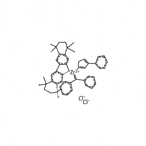 CC1(C)CCC(C)(C)c2cc3c(cc21)-c1cc2c(cc1[CH]3[Zr+2]([C]1=CC(c3ccccc3)=CC1)=[C](c1ccccc1)c1ccccc1)C(C)(C)CCC2(C)C.[Cl-].[Cl-]